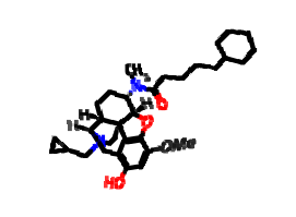 COc1cc(O)c2c3c1O[C@H]1[C@@H](N(C)C(=O)CCCCC4CCCCC4)CC[C@H]4[C@@H](C2)N(CC2CC2)CC[C@@]341